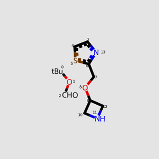 CC(C)(C)OC=O.c1csc(COC2CNC2)n1